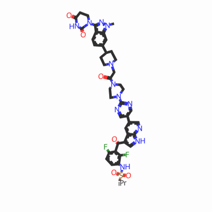 CC(C)S(=O)(=O)Nc1ccc(F)c(C(=O)c2c[nH]c3ncc(-c4cnc(N5CCN(C(=O)CN6CCC(c7ccc8c(N9CCC(=O)NC9=O)nn(C)c8c7)CC6)CC5)nc4)cc23)c1F